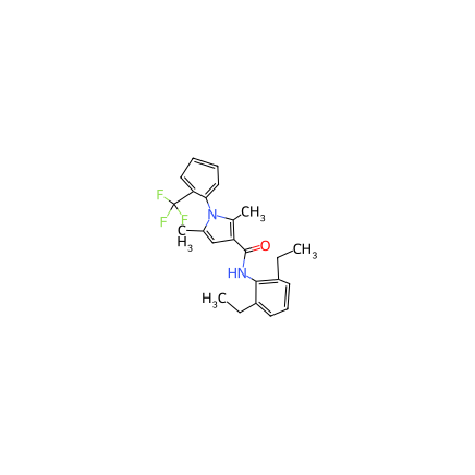 CCc1cccc(CC)c1NC(=O)c1cc(C)n(-c2ccccc2C(F)(F)F)c1C